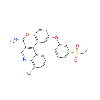 CCS(=O)(=O)c1cccc(Oc2cccc(-c3c(C(N)=O)cnc4c(Cl)cccc34)c2)c1